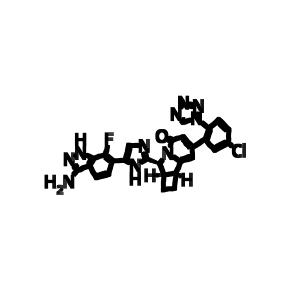 Nc1n[nH]c2c(F)c(-c3cnc([C@@H]4[C@H]5CC[C@H]5c5cc(-c6cc(Cl)ccc6-n6cnnn6)cc(=O)n54)[nH]3)ccc12